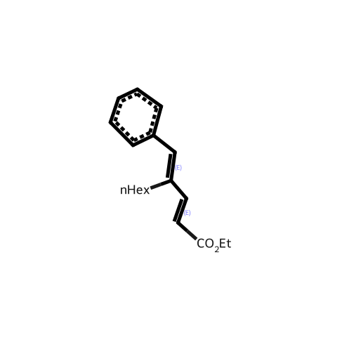 CCCCCCC(/C=C/C(=O)OCC)=C\c1ccccc1